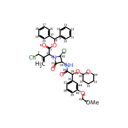 C=C(CCl)C(C(=O)OC(c1ccccc1)c1ccccc1)N1C(=O)C(NC(=O)C(OC2CCCCO2)c2cccc(OCOC)c2)C1Cl